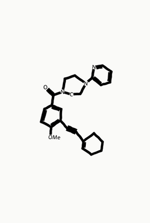 COc1ccc(C(=O)N2CCN(c3ccccn3)CC2)cc1C#CC1=CCCCC1